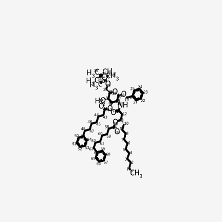 CCCCCCCCCCC[C@@H](CC(=O)N[C@H]1[C@H](OCc2ccccc2)O[C@H](CO[Si](C)(C)C(C)(C)C)[C@@H](O)[C@@H]1OC(=O)CCCCCCc1ccccc1)OC(=O)CCCCCCc1ccccc1